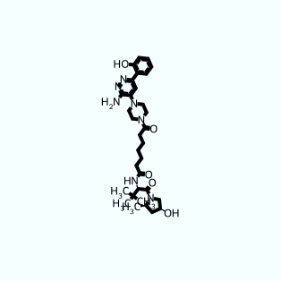 C[C@@H]1C[C@@H](O)CN1C(=O)[C@@H](NC(=O)CCCCCC(=O)N1CCN(c2cc(-c3ccccc3O)nnc2N)CC1)C(C)(C)C